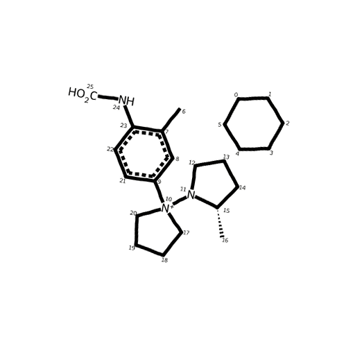 C1CCCCC1.Cc1cc([N+]2(N3CCC[C@@H]3C)CCCC2)ccc1NC(=O)O